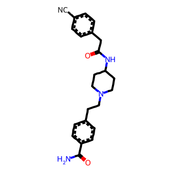 N#Cc1ccc(CC(=O)NC2CCN(CCc3ccc(C(N)=O)cc3)CC2)cc1